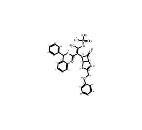 CC(OP(=O)(O)O)=C(C(=O)OC(c1ccccc1)c1ccccc1)N1C(=O)C2N=C(COc3ccccc3)SC21